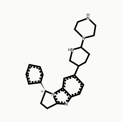 c1ccc([C@H]2CCc3nc4ccc(C5CCC(N6CCNCC6)NC5)cc4n32)cc1